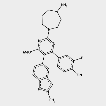 COc1nc(N2CCCC(N)CC2)nc(-c2ccc(C#N)c(F)c2)c1-c1ccc2nn(C)cc2c1